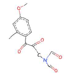 COc1ccc(C(=O)C(=O)CN(C=O)C=O)c(C)c1